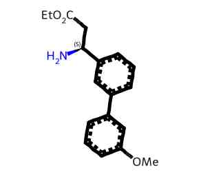 CCOC(=O)C[C@H](N)c1cccc(-c2cccc(OC)c2)c1